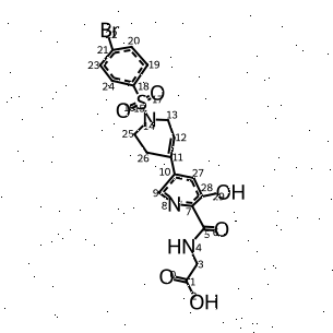 O=C(O)CNC(=O)c1ncc(C2=CCN(S(=O)(=O)c3ccc(Br)cc3)CC2)cc1O